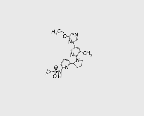 CCOc1cncc(-c2cnc(N3CCCC3c3cccc(NS(=O)(=O)C4CC4)n3)c(C)c2)n1